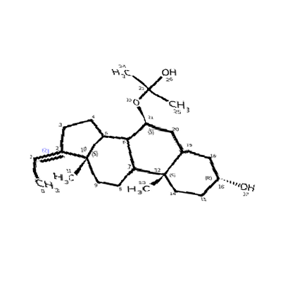 C/C=C1/CCC2C3C(CC[C@]12C)[C@@]1(C)CC[C@@H](O)CC1C[C@@H]3OC(C)(C)O